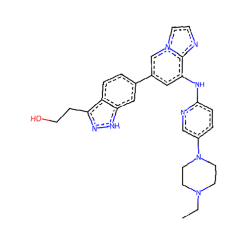 CCN1CCN(c2ccc(Nc3cc(-c4ccc5c(CCO)n[nH]c5c4)cn4ccnc34)nc2)CC1